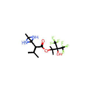 CC(C)C(C(=O)OC(C)(C)C(O)(C(F)(F)F)C(F)(F)F)C12NC1(C)N2